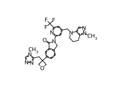 Cn1cnnc1CC1(c2ccc3c(c2)C(=O)N(c2cc(CN4CCCc5c4cnn5C)cc(C(F)(F)F)n2)C3)COC1